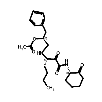 CCCC[C@H](NC[C@H](Cc1ccccc1)OC(C)=O)C(=O)C(=O)N[C@H]1CCCCC1=O